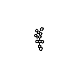 c1ccc(-c2c3ccccc3c(-c3cccc4oc5c(-c6c7ccccc7c(-c7ccc8ccccc8c7)c7ccccc67)cccc5c34)c3ccccc23)cc1